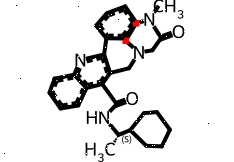 C[C@H](NC(=O)c1c(CN2CCN(C)C(=O)C2)c(-c2ccccc2)nc2ccccc12)C1CCCCC1